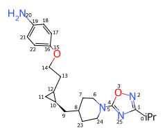 CC(C)c1noc(N2CCC(C[C@H]3CC3CCOc3ccc(N)cc3)CC2)n1